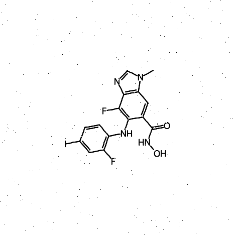 Cn1cnc2c(F)c(Nc3ccc(I)cc3F)c(C(=O)NO)cc21